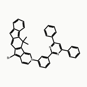 CC1(C)C2=c3ccccc3=CC2=Cc2c(Br)c3ccn(-c4cccc(-c5nc(-c6ccccc6)cc(-c6ccccc6)n5)c4)cc-3c21